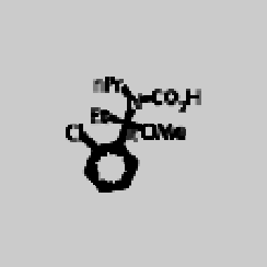 CCCN(C(=O)O)[C@](CC)(OC)c1ccccc1Cl